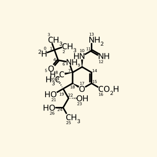 [2H]C(C)(C)C(=O)N[C@]1(C)[C@@H](NC(=N)N)C=C(C(=O)O)O[C@H]1[C@](C)(O)[C@H](O)C(C)O